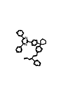 C=C/C=C(\C=C\c1ccc(C2(c3ccc(-c4nc(-c5ccccc5)cc(-c5ccccc5)n4)cc3)CCCCC2)cc1)c1ccccc1